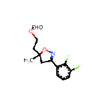 CC1(CCOC=O)CC(c2cccc(F)c2F)=NO1